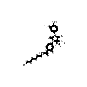 CC1(C)C(=O)N(c2ccc(C#N)c(C(F)(F)F)c2)C(=S)N1c1ccc(C(=O)NCCCCCCO)c(F)c1